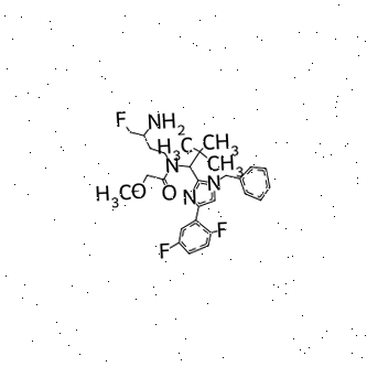 COCC(=O)N(CCC(N)CF)C(c1nc(-c2cc(F)ccc2F)cn1Cc1ccccc1)C(C)(C)C